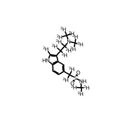 [2H]c1[nH]c2ccc(C([2H])([2H])S(=O)(=O)NC([2H])([2H])[2H])cc2c1C([2H])([2H])C([2H])([2H])N(C([2H])([2H])[2H])C([2H])([2H])[2H]